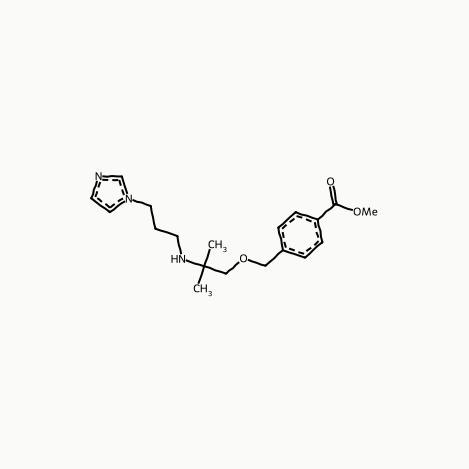 COC(=O)c1ccc(COCC(C)(C)NCCCn2ccnc2)cc1